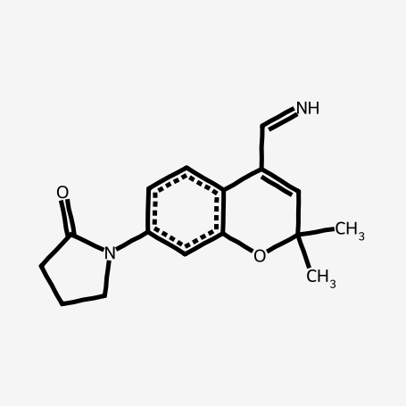 CC1(C)C=C(C=N)c2ccc(N3CCCC3=O)cc2O1